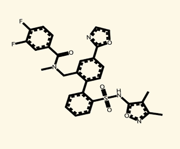 Cc1noc(NS(=O)(=O)c2ccccc2-c2ccc(-c3ncco3)cc2CN(C)C(=O)c2ccc(F)c(F)c2)c1C